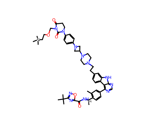 Cc1cc(-c2ncnc3[nH]c4cc(CCN5CCN(C6CN(c7ccc(N8CCC(=O)N(COCC[Si](C)(C)C)C8=O)cc7)C6)CC5)ccc4c23)ccc1[C@@H](C)NC(=O)c1nc(C(C)(C)C)no1